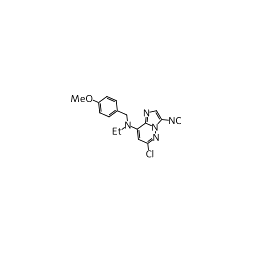 [C-]#[N+]c1cnc2c(N(CC)Cc3ccc(OC)cc3)cc(Cl)nn12